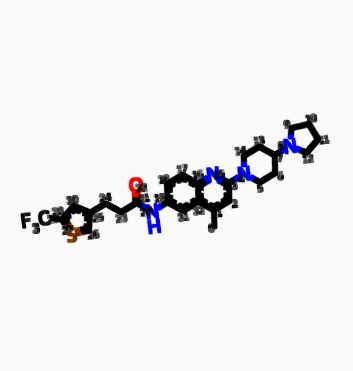 Cc1cc(N2CCC(N3CCCC3)CC2)nc2ccc(NC(=O)CCc3csc(C(F)(F)F)c3)cc12